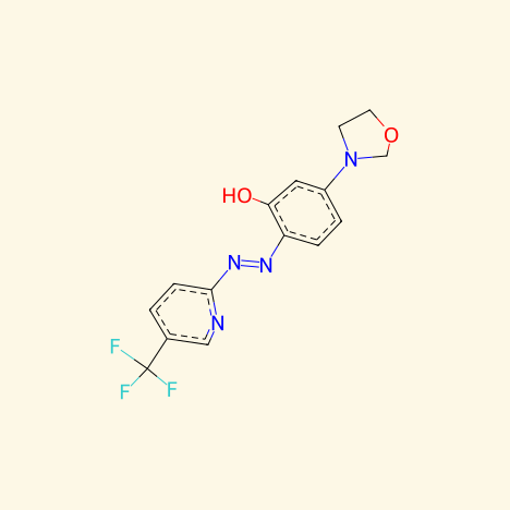 Oc1cc(N2CCOC2)ccc1N=Nc1ccc(C(F)(F)F)cn1